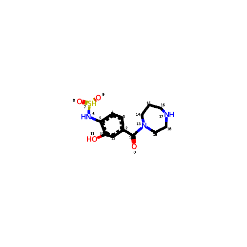 O=C(c1ccc(N[SH](=O)=O)c(O)c1)N1CCCNCC1